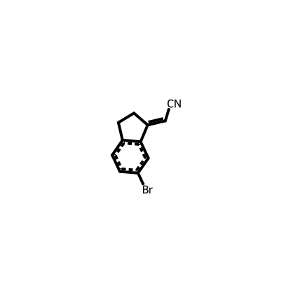 N#CC=C1CCc2ccc(Br)cc21